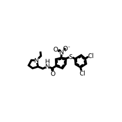 CCN1CCCC1CNC(=O)c1ccc(Sc2cc(Cl)cc(Cl)c2)c([N+](=O)[O-])c1